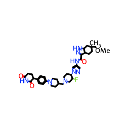 COC[C@@]1(C)CCC2C(C(=O)Nc3cnn([C@H]4CCN(CC5CCN(c6ccc(C7CCC(=O)NC7=O)cc6)CC5)C[C@@H]4F)c3)=NNC2C1